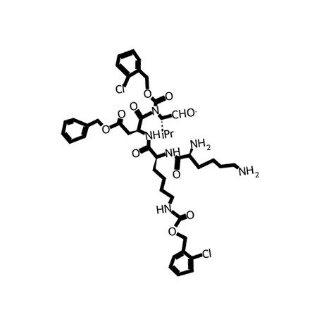 CC(C)[C@@H]([C]=O)N(C(=O)OCc1ccccc1Cl)C(=O)[C@H](CC(=O)OCc1ccccc1)NC(=O)[C@H](CCCCNC(=O)OCc1ccccc1Cl)NC(=O)[C@@H](N)CCCCN